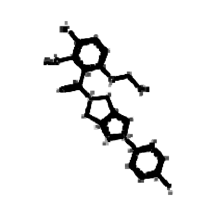 COc1c(C#N)ccc(OCC(C)(C)C)c1C(=O)N1Cc2cn(-c3ccc(F)cn3)nc2C1